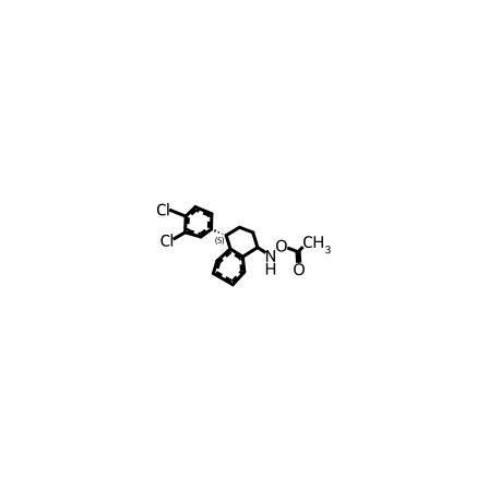 CC(=O)ONC1CC[C@@H](c2ccc(Cl)c(Cl)c2)c2ccccc21